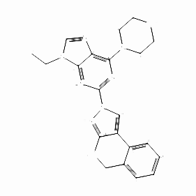 CCn1cnc2c(N3CCOCC3)nc(-n3cc4c(n3)OCc3ccccc3-4)nc21